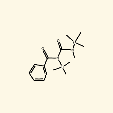 CN(C(=O)N(C(=O)c1ccccc1)[Si](C)(C)C)[Si](C)(C)C